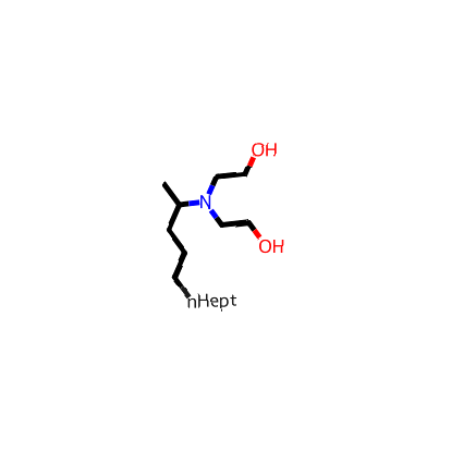 CCCCCCCCCCC(C)N(CCO)CCO